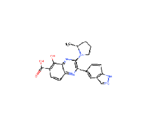 CC1CCCN1c1nc2c(O)c(C(=O)O)ccc2nc1-c1ccc2[nH]ncc2c1